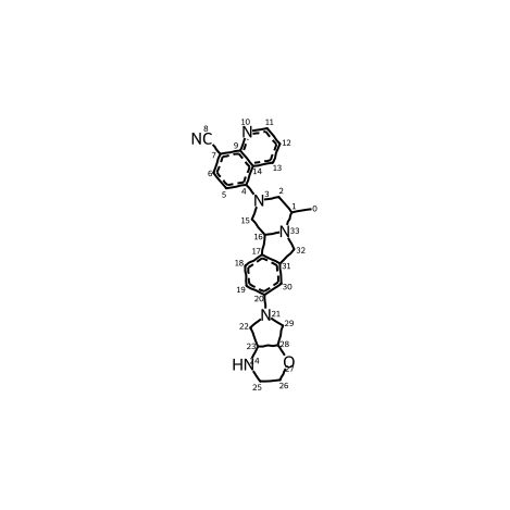 CC1CN(c2ccc(C#N)c3ncccc23)CC2c3ccc(N4CC5NCCOC5C4)cc3CN12